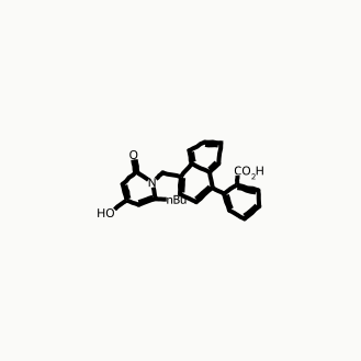 CCCCc1cc(O)cc(=O)n1Cc1ccc(-c2ccccc2C(=O)O)c2ccccc12